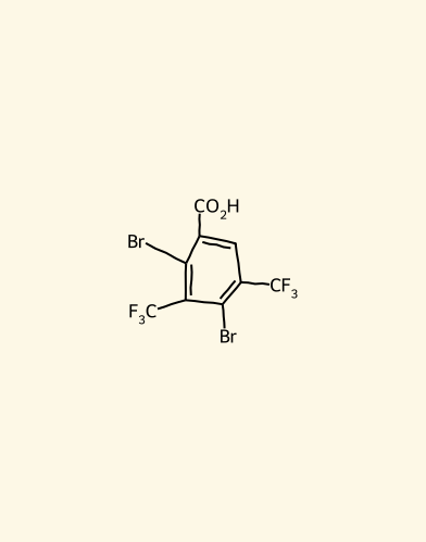 O=C(O)c1cc(C(F)(F)F)c(Br)c(C(F)(F)F)c1Br